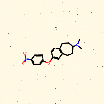 CN(C)C1CCc2ccc(Oc3ccc([N+](=O)[O-])cc3)cc2CC1